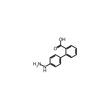 NNc1ccc(-c2ccccc2C(=O)O)cc1